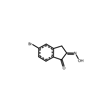 O=C1C(=NO)Cc2cc(Br)ccc21